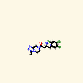 Cc1nnc2n1CCN(C(=O)C[C@H](N)Cc1cc(F)c(Br)cc1F)C2